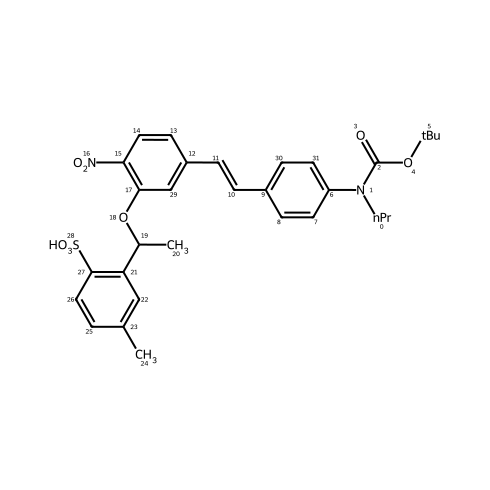 CCCN(C(=O)OC(C)(C)C)c1ccc(/C=C/c2ccc([N+](=O)[O-])c(OC(C)c3cc(C)ccc3S(=O)(=O)O)c2)cc1